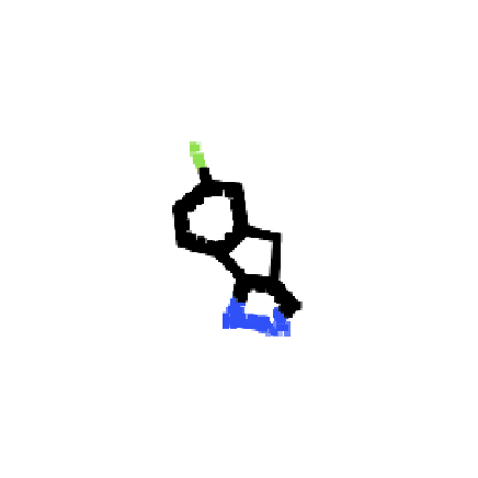 Fc1ccc2c(c1)Cc1[c][nH]nc1-2